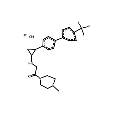 CN1CCN(C(=O)CNC2CC2c2ccc(-c3ccc(C(F)(F)F)cc3)cc2)CC1.Cl.Cl